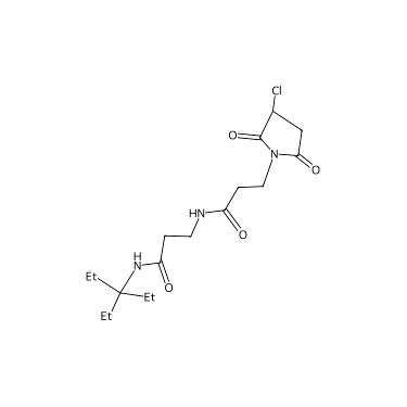 CCC(CC)(CC)NC(=O)CCNC(=O)CCN1C(=O)CC(Cl)C1=O